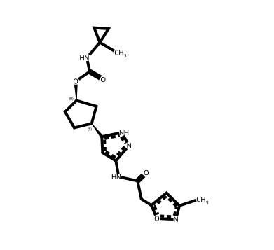 Cc1cc(CC(=O)Nc2cc([C@H]3CC[C@@H](OC(=O)NC4(C)CC4)C3)[nH]n2)on1